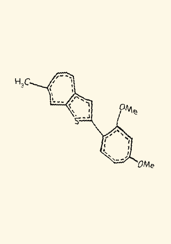 COc1ccc(-c2cc3ccc(C)cc3s2)c(OC)c1